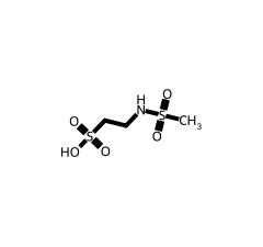 CS(=O)(=O)NCCS(=O)(=O)O